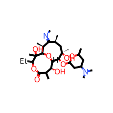 CCC1OC(=O)C(C)[C@H](O)[C@H]2OC([C@@H](C)/C(=N/C)[C@@H](C)C[C@@](C)(O)C2OC2CC(N(C)C)CC(C)O2)C1(C)O